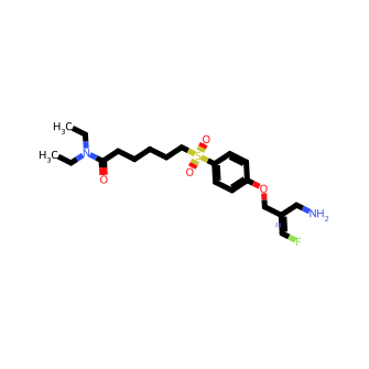 CCN(CC)C(=O)CCCCCS(=O)(=O)c1ccc(OC/C(=C/F)CN)cc1